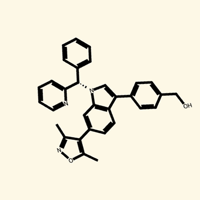 Cc1noc(C)c1-c1ccc2c(-c3ccc(CO)cc3)cn([C@@H](c3ccccc3)c3ccccn3)c2c1